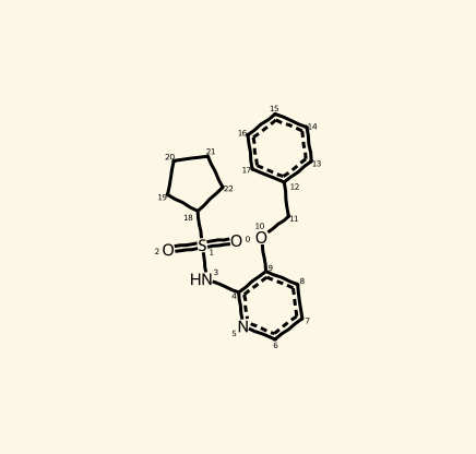 O=S(=O)(Nc1ncccc1OCc1ccccc1)C1CCCC1